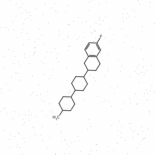 CC1CCC(C2CCC(C3CCc4cc(F)ccc4C3)CC2)CC1